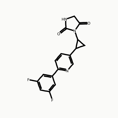 O=C1CNC(=O)N1C1CC1c1ccc(-c2cc(F)cc(F)c2)nc1